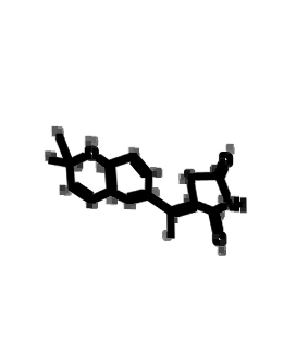 C/C(=C1/SC(=O)NC1=O)c1ccc2c(c1)C=CC(C)(C)O2